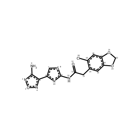 Nc1nonc1-c1csc(NC(=O)Cc2cc3c(cc2Cl)OCO3)n1